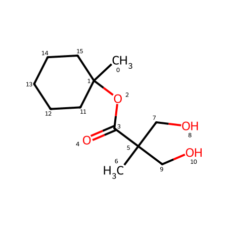 CC1(OC(=O)C(C)(CO)CO)CCCCC1